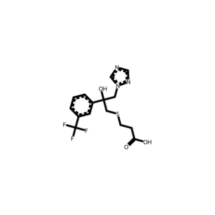 O=C(O)CCSCC(O)(Cn1cncn1)c1cccc(C(F)(F)F)c1